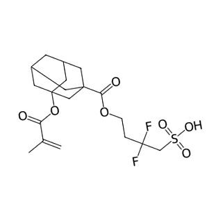 C=C(C)C(=O)OC12CC3CC(C1)CC(C(=O)OCCC(F)(F)CS(=O)(=O)O)(C3)C2